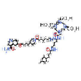 Cc1ccc(CCCC(=O)NCCCC[C@@H](N/N=C/CCCCCC(=O)N2CCC(CCCCOc3ccc4nccc(C(N)=O)c4c3)CC2)NC(=O)CN2CCN(CC(=O)O)CCN(CC(=O)O)CCN(CC(=O)O)CC2)cc1